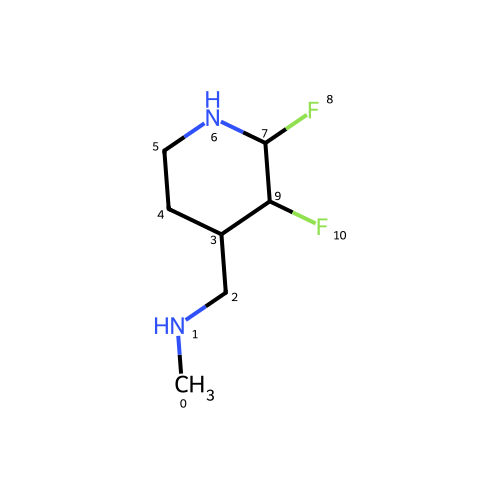 CNCC1CCNC(F)C1F